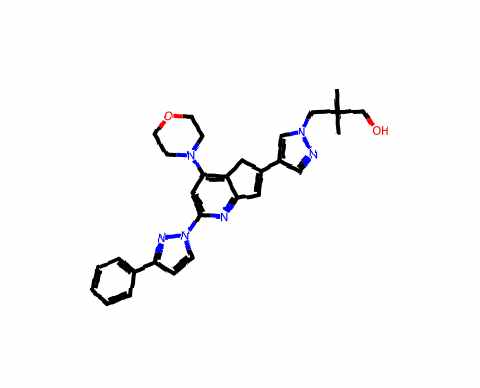 CC(C)(CO)Cn1cc(C2=Cc3nc(-n4ccc(-c5ccccc5)n4)cc(N4CCOCC4)c3C2)cn1